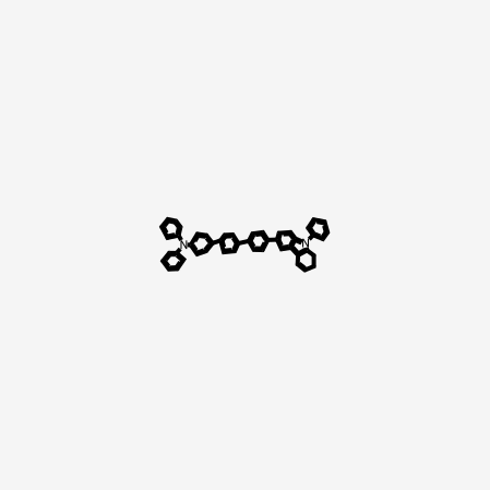 C1=Cc2c(n(-c3ccccc3)c3ccc(-c4ccc(-c5ccc(-c6ccc(N(c7ccccc7)c7ccccc7)cc6)cc5)cc4)cc23)CC1